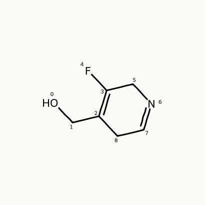 OCC1=C(F)CN=CC1